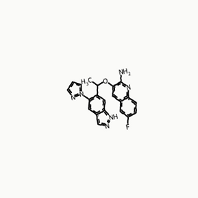 CC(Oc1cc2cc(F)ccc2nc1N)c1cc2[nH]ncc2cc1-n1cccn1